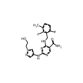 Cc1ccc(F)c(CNc2nc(Nc3cnn(CCO)c3)ncc2C(N)=O)c1F